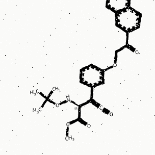 COC(=O)[C@@H](NOC(C)(C)C)C(=C=O)c1cccc(OCC(=O)c2ccc3ccccc3c2)c1